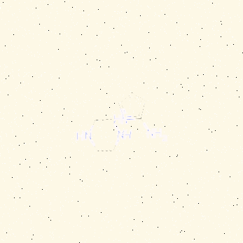 C1CNCCN1.Nc1ccc[nH]1